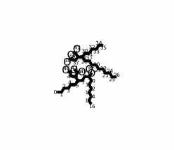 CCCC/C=C/C(CCC(CCCCCCC)OOC(CCCCCCC)CCC(/C=C/CCCC)C1CC(=O)OC1=O)C1CC(=O)OC1=O